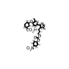 Cc1nc(-c2nnn(C)c2CCCOC(=O)Oc2ccc([N+](=O)[O-])cc2)ccc1O[C@H]1CCC[C@H](C(=O)O)C1